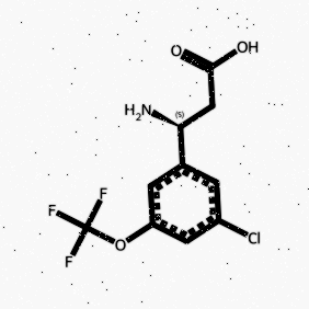 N[C@@H](CC(=O)O)c1cc(Cl)cc(OC(F)(F)F)c1